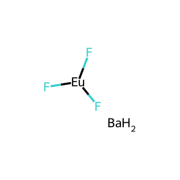 [BaH2].[F][Eu]([F])[F]